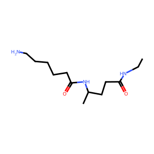 CCNC(=O)CCC(C)NC(=O)CCCCCN